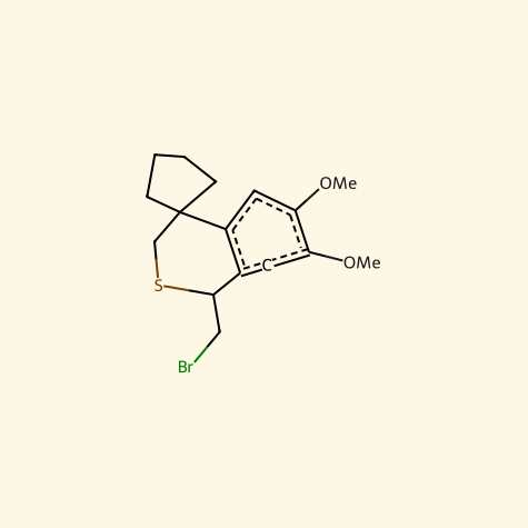 COc1cc2c(cc1OC)C1(CCCC1)CSC2CBr